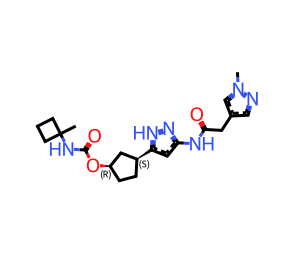 Cn1cc(CC(=O)Nc2cc([C@H]3CC[C@@H](OC(=O)NC4(C)CCC4)C3)[nH]n2)cn1